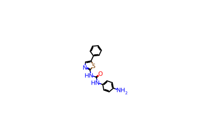 Nc1ccc(NC(=O)Nc2ncc(-c3ccccc3)s2)cc1